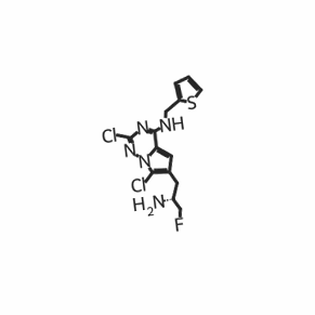 N[C@@H](CF)Cc1cc2c(NCc3cccs3)nc(Cl)nn2c1Cl